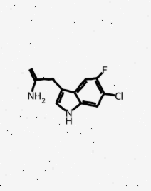 C=C(N)Cc1c[nH]c2cc(Cl)c(F)cc12